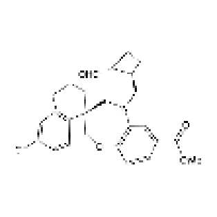 COC(=O)c1ccc2c(c1)N(C[C@@H]1CC[C@H]1C=O)C[C@@]1(CCCc3cc(Cl)ccc31)CO2